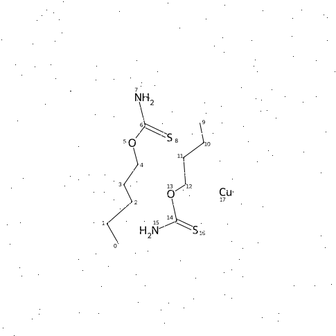 CCCCCOC(N)=S.CCCCOC(N)=S.[Cu]